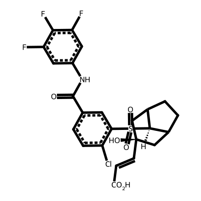 O=C(O)/C=C/[C@]1(O)CC2CCC(C1)[C@H]2S(=O)(=O)c1cc(C(=O)Nc2cc(F)c(F)c(F)c2)ccc1Cl